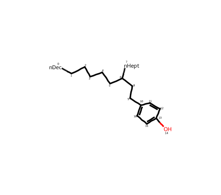 CCCCCCCCCCCCCCCC(CCCCCCC)CCc1ccc(O)cc1